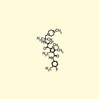 Cc1cc(NC(=O)c2c(C)c(C(=O)C(=O)NC(C)(C)CN3CCN(C)CC3)n(C)c2C)ccc1F